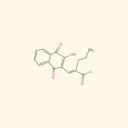 CCC/C(=C\C1=C(O)C(=O)c2ccccc2C1=O)C(=O)Cl